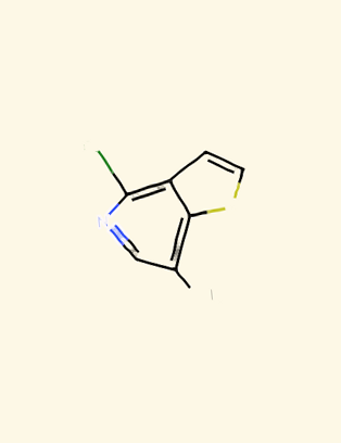 Cc1cnc(Cl)c2ccsc12